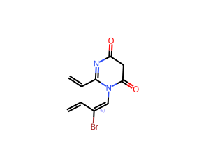 C=CC1=NC(=O)CC(=O)N1/C=C(/Br)C=C